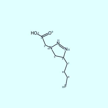 O=C(O)CN1CC(CCCF)N=N1